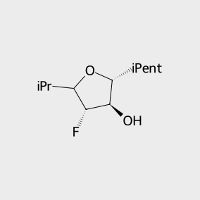 CCCC(C)[C@H]1OC(C(C)C)[C@@H](F)[C@@H]1O